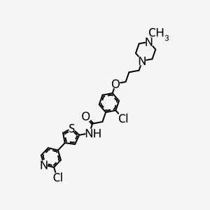 CN1CCN(CCCOc2ccc(CC(=O)Nc3cc(-c4ccnc(Cl)c4)cs3)c(Cl)c2)CC1